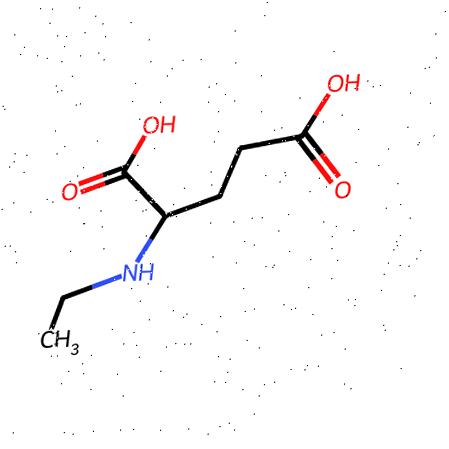 CCNC(CCC(=O)O)C(=O)O